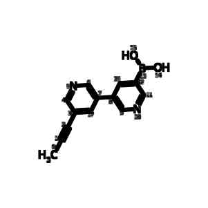 CC#Cc1cncc(-c2cncc(B(O)O)c2)c1